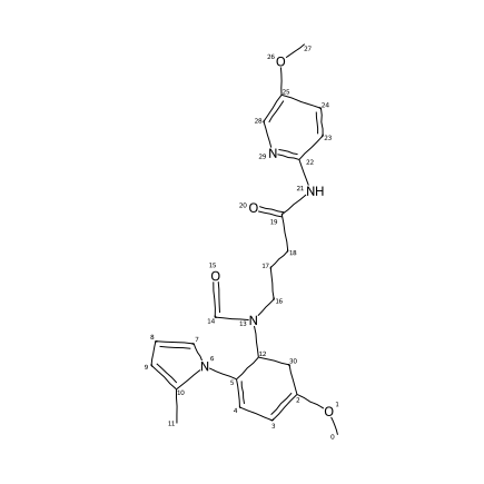 COC1=CC=C(n2cccc2C)C(N(C=O)CCCC(=O)Nc2ccc(OC)cn2)C1